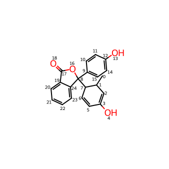 CC1C=C(O)C=CC1C1(c2ccc(O)cc2)OC(=O)c2ccccc21